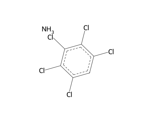 Clc1cc(Cl)c(Cl)c(Cl)c1Cl.N